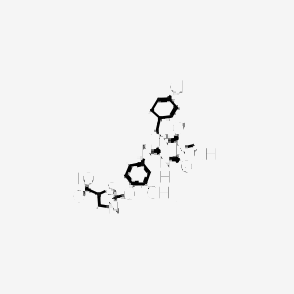 CCn1c(=O)[nH]/c(=N\c2ccc(OC3=NCC(C(=O)O)S3)c(C)c2)n(CC2C=CC(Cl)=CC2)c1=O